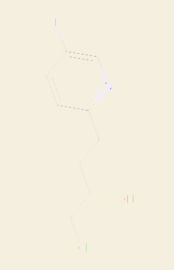 O[C@H](CCl)CCc1ccc(I)cn1